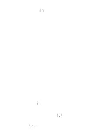 COC(=N)NCCCCCCCC(C)C